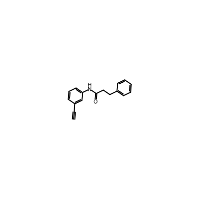 C#Cc1cccc(NC(=O)CCc2ccccc2)c1